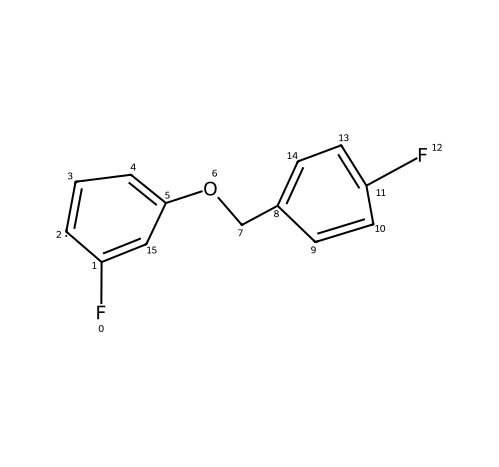 Fc1[c]ccc(OCc2ccc(F)cc2)c1